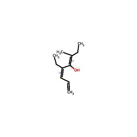 C=C/C=C(CC)\C(O)=C(/C)CC